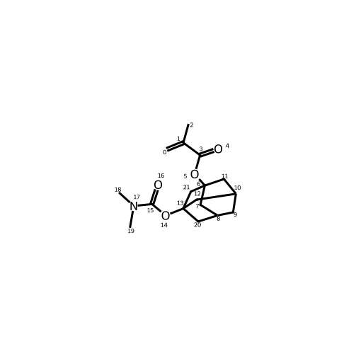 C=C(C)C(=O)OC12CC3CC(C1)CC(OC(=O)N(C)C)(C3)C2